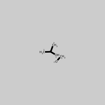 CC(C)O.C[O]